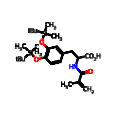 C=C(C)C(=O)NC(Cc1ccc(O[Si](C)(C)C(C)(C)C)c(O[Si](C)(C)C(C)(C)C)c1)C(=O)O